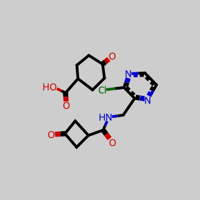 O=C1CC(C(=O)NCc2nccnc2Cl)C1.O=C1CCC(C(=O)O)CC1